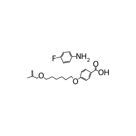 C=C(C)COCCCCCCOc1ccc(C(=O)O)cc1.Nc1ccc(F)cc1